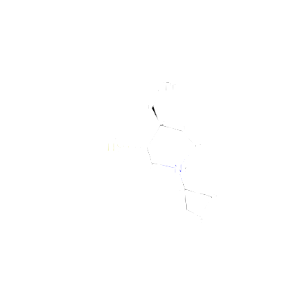 CC(C)C[C@H]1CCN(C2CCC2)C[C@@H]1S